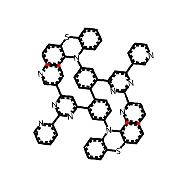 c1ccc(-c2nc(-c3cccnc3)cc(-c3cc(N4c5ccccc5Sc5ccccc54)ccc3-c3ccc(N4c5ccccc5Sc5ccccc54)cc3-c3cc(-c4cccnc4)nc(-c4ccccn4)n3)n2)nc1